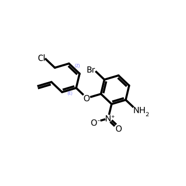 C=C/C=C(\C=C/CCl)Oc1c(Br)ccc(N)c1[N+](=O)[O-]